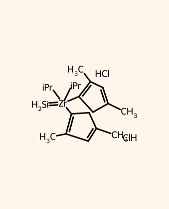 CC1=CC(C)=[C]([Zr](=[SiH2])([C]2=C(C)C=C(C)C2)([CH](C)C)[CH](C)C)C1.Cl.Cl